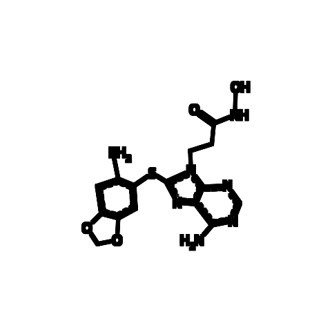 Bc1cc2c(cc1Sc1nc3c(N)ncnc3n1CCC(=O)NO)OCO2